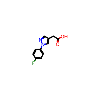 O=C(O)Cc1cnn(-c2ccc(F)cc2)c1